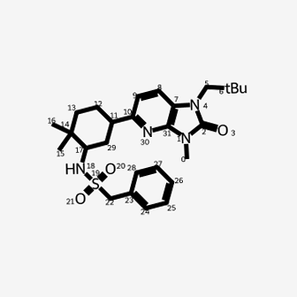 Cn1c(=O)n(CC(C)(C)C)c2ccc(C3CCC(C)(C)C(NS(=O)(=O)Cc4ccccc4)C3)nc21